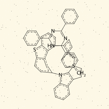 C=S123C=Cc4c1n(c1ccccc41)-c1ccc4sc5cccc(c5c4c1)-c1ccc(c2c1)-c1c(C2N=C(c4ccccc4)N=C(c4ccccc4)N2)cccc13